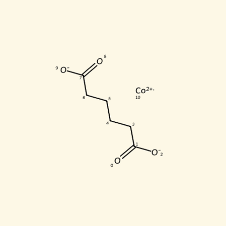 O=C([O-])CCCCC(=O)[O-].[Co+2]